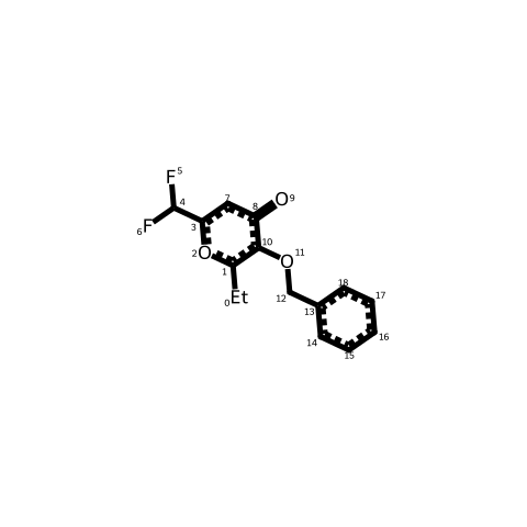 CCc1oc(C(F)F)cc(=O)c1OCc1ccccc1